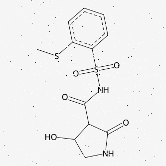 CSc1ccccc1S(=O)(=O)NC(=O)C1C(=O)NCC1O